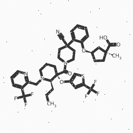 CCC[C@H]1N(Cc2ncccc2C(F)(F)F)CCC[C@@]1(Oc1csc(C(F)(F)F)c1)C(=O)N1CCC(C#N)(c2ccccc2O[C@@H]2CC[C@](C)(C(=O)O)C2)CC1